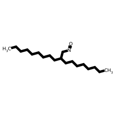 CCCCCCCCCC(CCCCCCCC)CN=O